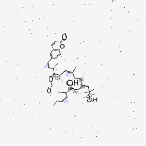 CC/C=C\C(C)[C@H](O)[C@@H](C)[C@H](CC(C)(C)[Si](C)(C)O)[C@@H](C)C/C(C)=C\[C@H](C)[C@@H](OCOC)C(C)/C=C\c1ccc2oc(=O)ccc2c1